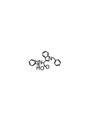 C[C@H](NC(C(=O)O)c1cn(Cc2ccccc2)c2ccccc12)c1ccccc1